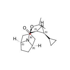 CC(C)O[C@H]1C[C@H]2CC[C@@H](C1)N2C(=O)[C@H]1N[C@H]1C1CC1